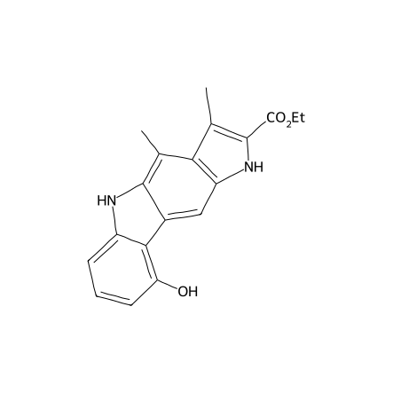 CCOC(=O)c1[nH]c2cc3c([nH]c4cccc(O)c43)c(C)c2c1C